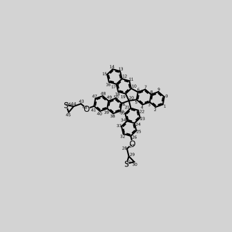 c1ccc2cc3c(cc2c1)-c1cc2ccccc2cc1C3(c1ccc2cc(OCC3CS3)ccc2c1)c1ccc2cc(OCC3CS3)ccc2c1